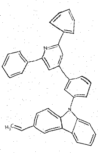 C=Cc1ccc2c(c1)c1ccccc1n2-c1cccc(-c2cc(-c3ccccc3)nc(-c3ccccc3)c2)c1